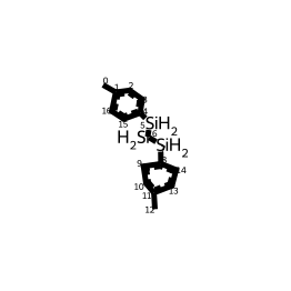 Cc1ccc([SiH2][SiH2][SiH2]c2ccc(C)cc2)cc1